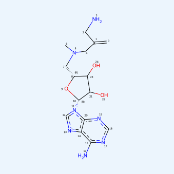 C=C(CN)CN(C)C[C@H]1O[C@@H](n2cnc3c(N)ncnc32)C(O)C1O